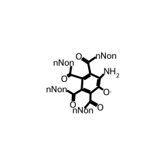 CCCCCCCCCC(=O)c1c(N)c([O])c(C(=O)CCCCCCCCC)c(C(=O)CCCCCCCCC)c1C(=O)CCCCCCCCC